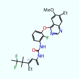 C=C(/C=C(\CC)C(C)(C)C(C)(F)F)NC(=O)Nc1cccc(Oc2ncnc3cc(CC)c(OC)cc23)c1F